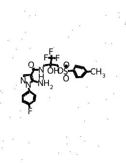 Cc1ccc(S(=O)(=O)OCC(O)(CNC(=O)c2cnn(-c3ccc(F)cc3)c2N)C(F)(F)F)cc1